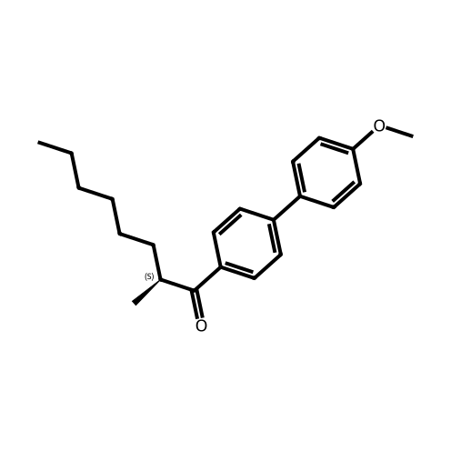 CCCCCC[C@H](C)C(=O)c1ccc(-c2ccc(OC)cc2)cc1